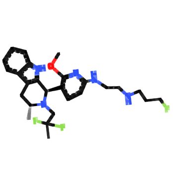 COc1nc(NCCNCCCF)ccc1[C@@H]1c2[nH]c3ccccc3c2C[C@@H](C)N1CC(C)(F)F